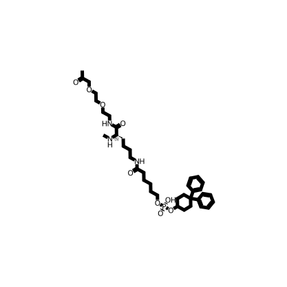 CN[C@@H](CCCCNC(=O)CCCCCOP(=O)(O)OC1CCC(c2ccccc2)(c2ccccc2)CC1)C(=O)NCCOCCOCC(C)=O